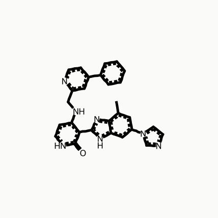 Cc1cc(-n2ccnc2)cc2[nH]c(-c3c(NCc4cc(-c5ccccc5)ccn4)cc[nH]c3=O)nc12